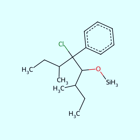 CCC(C)C(O[SiH3])C(Cl)(c1ccccc1)C(C)CC